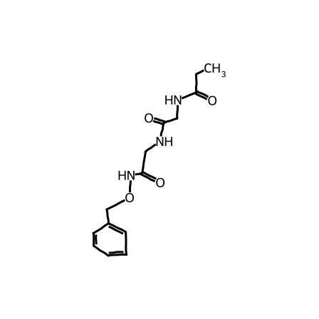 CCC(=O)NCC(=O)NCC(=O)NOCc1ccccc1